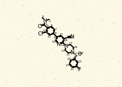 CN(C)C(=O)c1ccc(-c2cnc(N3CCN([S+]([O-])c4cccc(F)c4)CC3)c(C#N)c2)cc1Cl